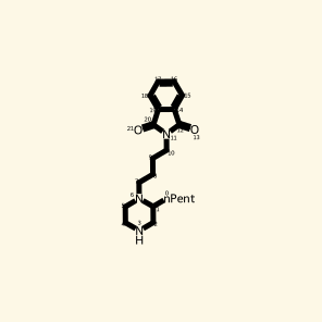 CCCCCC1CNCCN1CCCCN1C(=O)c2ccccc2C1=O